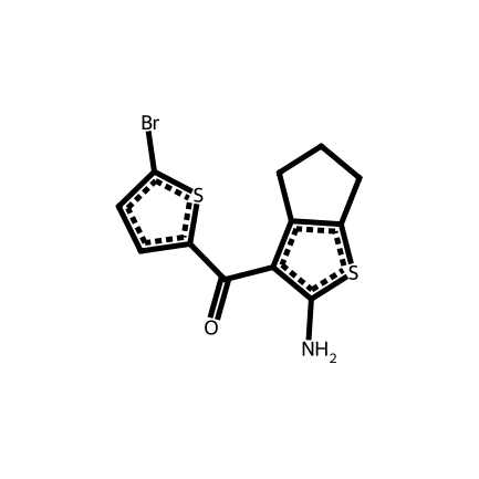 Nc1sc2c(c1C(=O)c1ccc(Br)s1)CCC2